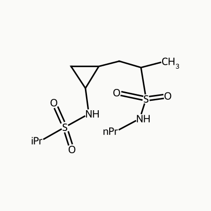 CCCNS(=O)(=O)C(C)CC1CC1NS(=O)(=O)C(C)C